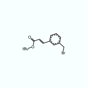 CC(C)(C)OC(=O)C=Cc1cccc(CBr)c1